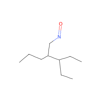 CCCC(CN=O)C(CC)CC